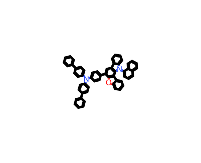 c1ccc(-c2ccc(N(c3ccc(-c4ccccc4)cc3)c3ccc(-c4cc5c6ccccc6n(-c6cccc7ccccc67)c5c5c4oc4ccccc45)cc3)cc2)cc1